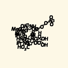 CC[C@H](C)[C@@H]([C@@H](CC(=O)N1CCC[C@H]1[C@H](OC)[C@@H](C)C(N)=O)OC)N(C)C(=O)[C@@H](NC(=O)[C@H](C(C)C)N(C)C(=O)OC(Cc1cn(CCOCCOCCOCCN2C(=O)C=CC2=O)nn1)c1ccc(O[C@@H]2O[C@H](CO)[C@H](O)[C@H](O)[C@H]2O)c2cc(C(=O)O)sc12)C(C)C